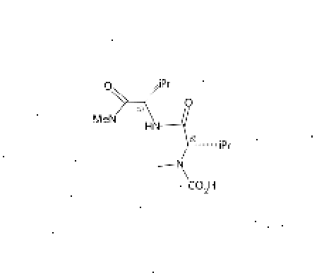 CNC(=O)[C@@H](NC(=O)[C@H](C(C)C)N(C)C(=O)O)C(C)C